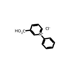 O=C(O)c1ccc[n+](-c2ccccc2)c1.[Cl-]